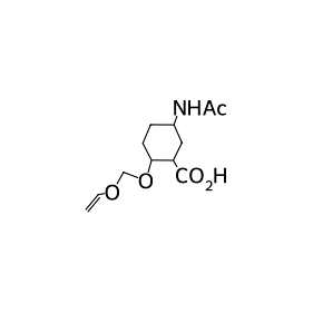 C=COCOC1CCC(NC(C)=O)CC1C(=O)O